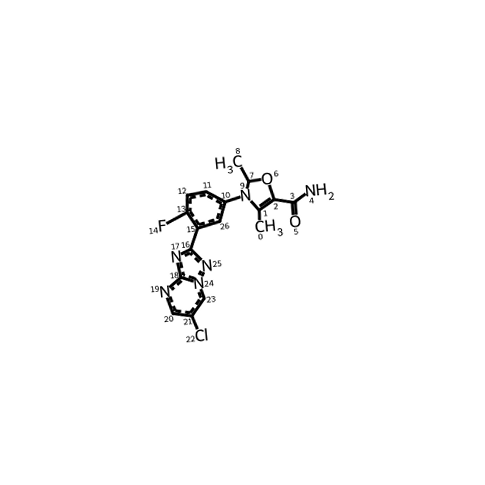 CC1=C(C(N)=O)OC(C)N1c1ccc(F)c(-c2nc3ncc(Cl)cn3n2)c1